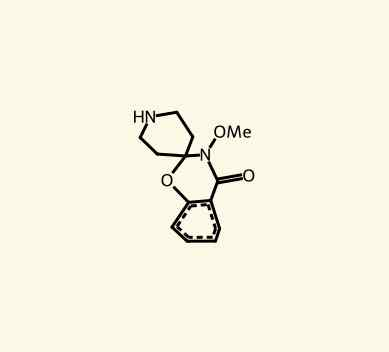 CON1C(=O)c2ccccc2OC12CCNCC2